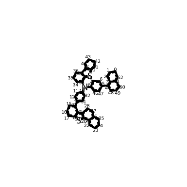 c1ccc2c(-c3ccc(N(c4ccc(-c5cccc6sc7c8ccccc8ccc7c56)cc4)c4cccc5c4sc4ccccc45)cc3)cccc2c1